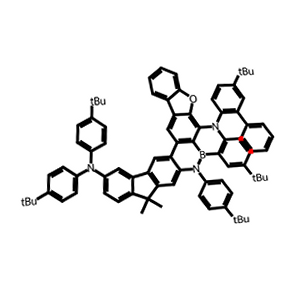 CC(C)(C)c1ccc(N2B3c4cc(C(C)(C)C)ccc4N(c4ccc(C(C)(C)C)cc4-c4ccccc4)c4c3c(cc3c4oc4ccccc43)-c3cc4c(cc32)C(C)(C)c2ccc(N(c3ccc(C(C)(C)C)cc3)c3ccc(C(C)(C)C)cc3)cc2-4)cc1